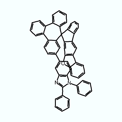 c1ccc(-c2nc3cc(-c4ccc5c(c4)C4(c6ccccc6-c6ccccc6-5)c5ccccc5-c5cc6c(cc54)oc4ccccc46)ccc3n2-c2ccccc2)cc1